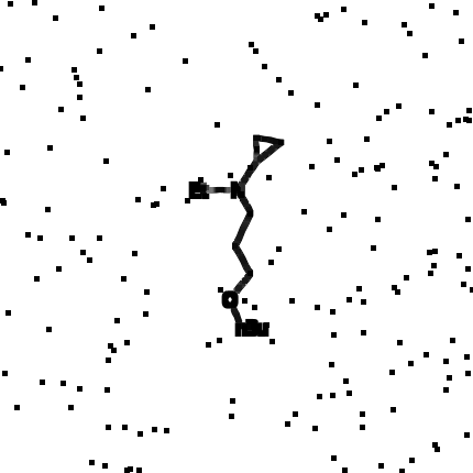 CCCCOCCCN(CC)C1CC1